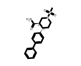 CS(=O)(=O)N1CC[C@H](c2ccc(-c3ccccc3)cc2)[C@@H](C(N)=O)C1